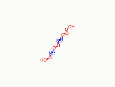 OO/N=N/OO/N=N/OOOO